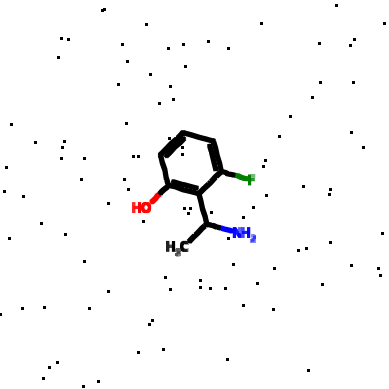 CC(N)c1c(O)cccc1F